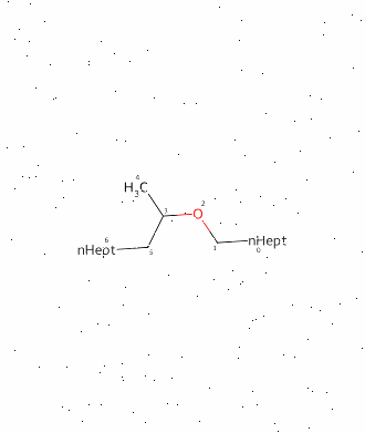 CCCCCCCCOC(C)CCCCCCCC